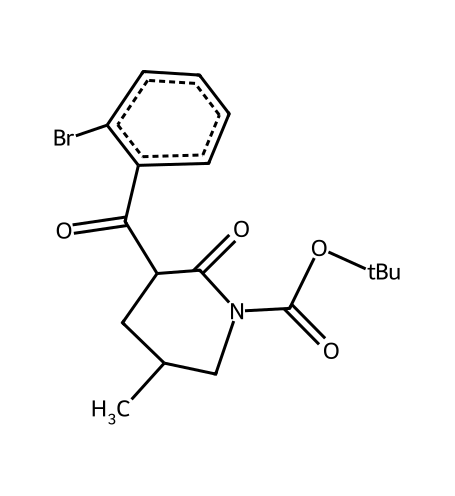 CC1CC(C(=O)c2ccccc2Br)C(=O)N(C(=O)OC(C)(C)C)C1